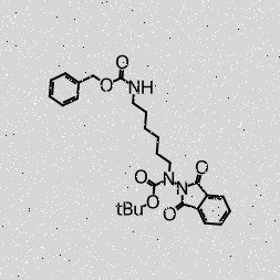 CC(C)(C)OC(=O)N(CCCCCCNC(=O)OCc1ccccc1)N1C(=O)c2ccccc2C1=O